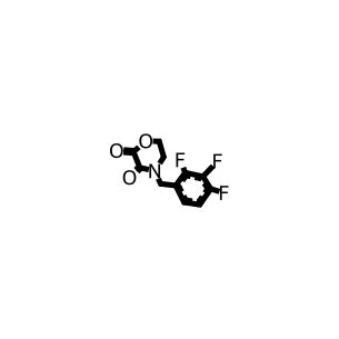 O=C1OCCN(Cc2ccc(F)c(F)c2F)C1=O